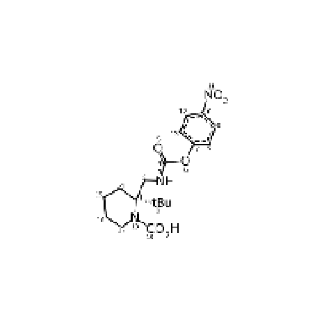 CC(C)(C)[C@@]1(CNC(=O)Oc2ccc([N+](=O)[O-])cc2)CCCCN1C(=O)O